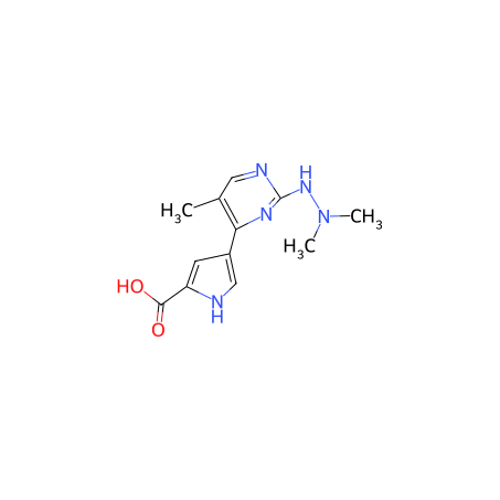 Cc1cnc(NN(C)C)nc1-c1c[nH]c(C(=O)O)c1